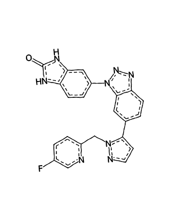 O=c1[nH]c2ccc(-n3nnc4ccc(-c5ccnn5Cc5ccc(F)cn5)cc43)cc2[nH]1